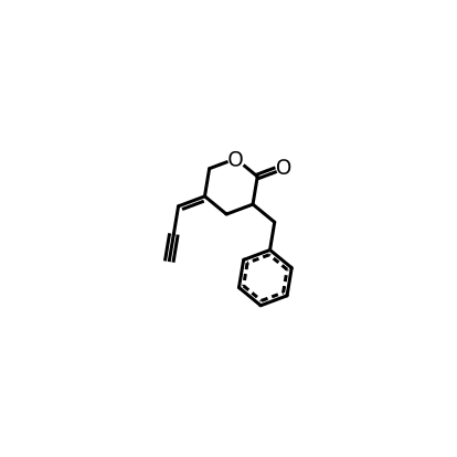 C#C/C=C1/COC(=O)C(Cc2ccccc2)C1